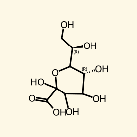 O=C(O)C1(O)OC([C@H](O)CO)[C@H](O)C(O)C1O